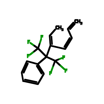 C=C/C=C\C(=C/C)C(c1ccccc1)(C(F)(F)F)C(F)(F)F